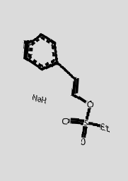 CCS(=O)(=O)OC=Cc1ccccc1.[NaH]